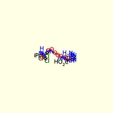 CC(C)c1n[nH]c2nc(Cc3ccc(OC(C)(C)C(=O)NCCOCCOCCOCCNC(=O)CCC(NC(=O)c4ccc(N(C)Cc5cnc6nc(N)nc(N)c6n5)cc4)C(=O)O)cc3)n(-c3c(Cl)cc(Cl)cc3Cl)c(=O)c12